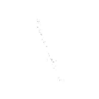 COCCCCCCCCC(=O)NCCOCCOCCOCCOCCOCCOC